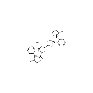 CC[C@@H]1CC(C2CCP(c3ccccc3P3CCC[C@H]3C)[C@@H]2C)[C@@H](CC)P1c1ccccc1P1CCC[C@H]1C